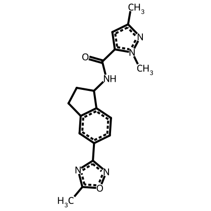 Cc1cc(C(=O)NC2CCc3cc(-c4noc(C)n4)ccc32)n(C)n1